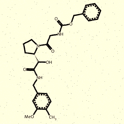 COc1cc(CNC(=O)C(O)[C@@H]2CCCN2C(=O)CNC(=O)OCc2ccccc2)ccc1C